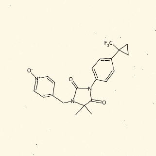 CC1(C)C(=O)N(c2ccc(C3(C(F)(F)F)CC3)cc2)C(=O)N1Cc1cc[n+]([O-])cc1